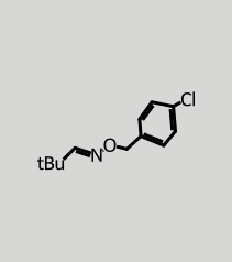 CC(C)(C)C=NOCc1ccc(Cl)cc1